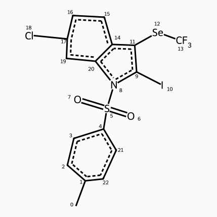 Cc1ccc(S(=O)(=O)n2c(I)c([Se]C(F)(F)F)c3ccc(Cl)cc32)cc1